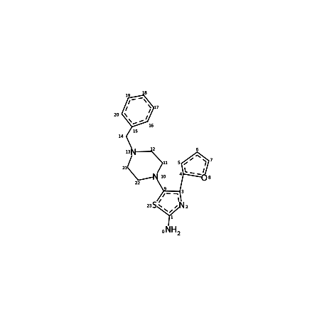 Nc1nc(-c2ccco2)c(N2CCN(Cc3ccccc3)CC2)s1